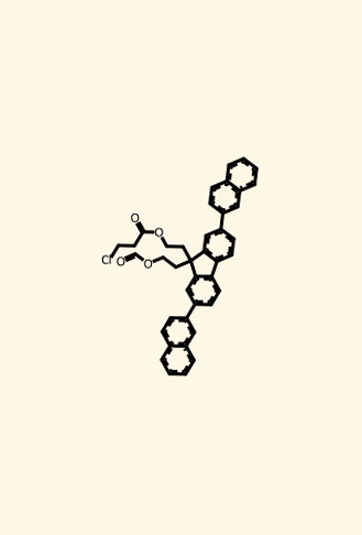 O=COCCC1(CCOC(=O)CCCl)c2cc(-c3ccc4ccccc4c3)ccc2-c2ccc(-c3ccc4ccccc4c3)cc21